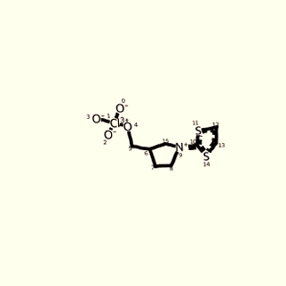 [O-][Cl+3]([O-])([O-])OCC1CC[N+](=c2sccs2)C1